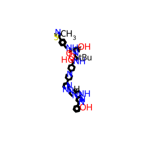 Cc1ncsc1-c1ccc(CNC(=O)[C@@H]2C[C@@H](O)CN2C(=O)[C@@H](NC(O)C2CCC(N3CCC(c4ccnc(N5CCN6c7cc(-c8ccccc8O)nnc7NC[C@H]6C5)n4)CC3)CC2)C(C)(C)C)cc1